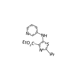 CCOC(=O)c1nc(C(C)C)sc1Nc1cccnc1